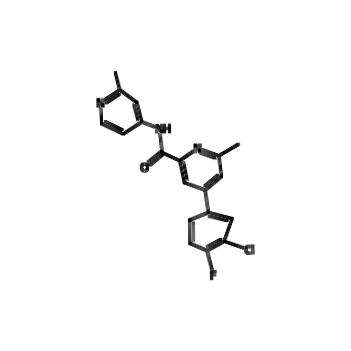 Cc1cc(NC(=O)c2cc(-c3ccc(F)c(Cl)c3)cc(C)n2)ccn1